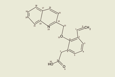 C=Cc1cccc(CC(=O)O)c1OCc1ccc2ccccc2n1